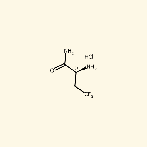 Cl.NC(=O)[C@@H](N)CC(F)(F)F